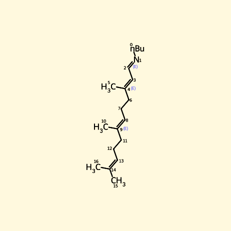 CCCC/N=C/C=C(\C)CC/C=C(\C)CCC=C(C)C